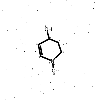 [O]N1C=CC(O)CC1